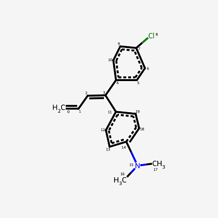 C=CC=C(c1ccc(Cl)cc1)c1ccc(N(C)C)cc1